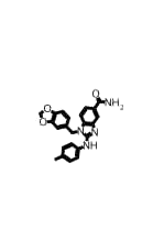 Cc1ccc(Nc2nc3cc(C(N)=O)ccc3n2Cc2ccc3c(c2)OCO3)cc1